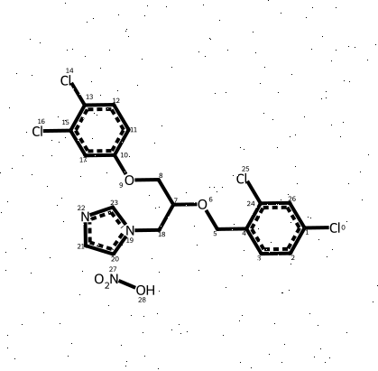 Clc1ccc(COC(COc2ccc(Cl)c(Cl)c2)Cn2ccnc2)c(Cl)c1.O=[N+]([O-])O